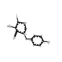 O=c1c(O)c(I)ncn1Cc1ccc(Cl)cc1